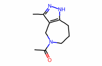 CC(=O)N1CCCc2[nH]nc(C)c2C1